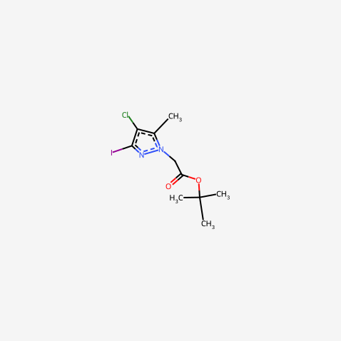 Cc1c(Cl)c(I)nn1CC(=O)OC(C)(C)C